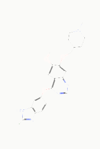 COc1cc2c(Oc3ccc4nc(Cl)[nH]c4c3)ncnc2cc1OCC1CCN(C)CC1